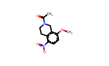 COc1ccc([N+](=O)[O-])c2c1CN(C(C)=O)CC2